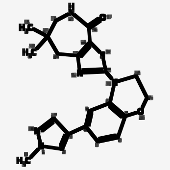 Cn1cc(-c2ccc3c(c2)N(c2nc4c(s2)C(=O)NCC(C)(C)C4)CCO3)cn1